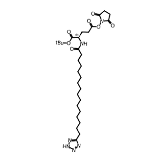 CC(C)(C)OC(=O)[C@@H](CCC(=O)ON1C(=O)CCC1=O)NC(=O)CCCCCCCCCCCCCCCc1nn[nH]n1